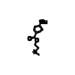 CN(C)CCOC(=O)c1ccc(C(C)(C)C)cc1